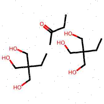 CCC(C)=O.CCC(CO)(CO)CO.CCC(CO)(CO)CO